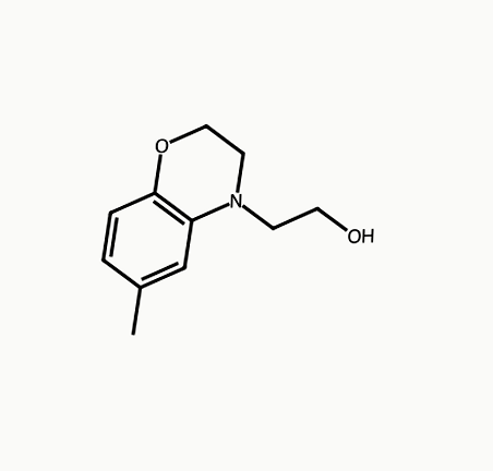 Cc1ccc2c(c1)N(CCO)CCO2